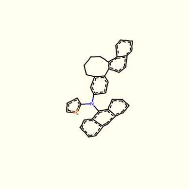 c1csc(N(c2ccc3c(c2)CCCCc2c-3ccc3ccccc23)c2c3ccccc3cc3ccccc23)c1